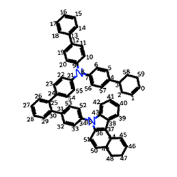 C1=CCC(c2ccc(N(c3ccc(-c4ccccc4)cc3)c3ccc(-c4ccccc4-c4ccc(-n5c6c(c7ccccc75)C5C=CCCC5C=C6)cc4)cc3)cc2)CC1